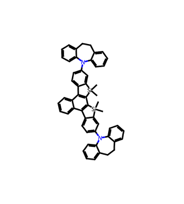 C[Si]1(C)c2cc(N3c4ccccc4CCc4ccccc43)ccc2-c2c1c1c(c3ccccc23)-c2ccc(N3c4ccccc4CCc4ccccc43)cc2[Si]1(C)C